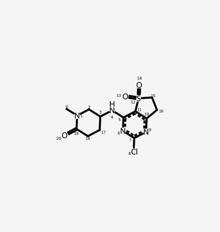 CN1CC(Nc2nc(Cl)nc3c2S(=O)(=O)CC3)CCC1=O